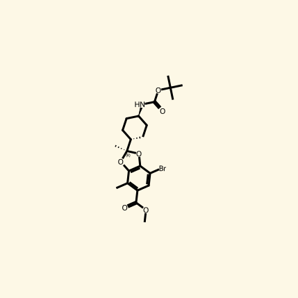 COC(=O)c1cc(Br)c2c(c1C)O[C@@](C)([C@H]1CC[C@H](NC(=O)OC(C)(C)C)CC1)O2